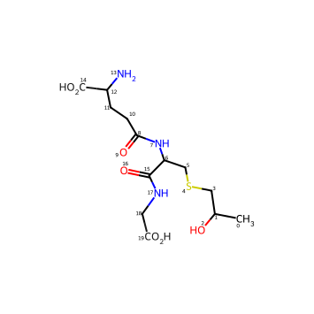 CC(O)CSCC(NC(=O)CCC(N)C(=O)O)C(=O)NCC(=O)O